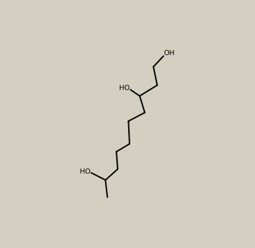 CC(O)CCCCCC(O)CCO